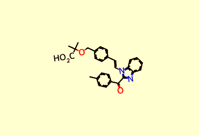 Cc1ccc(C(=O)c2nc3ccccc3n2/C=C/c2ccc(COC(C)(C)C(=O)O)cc2)cc1